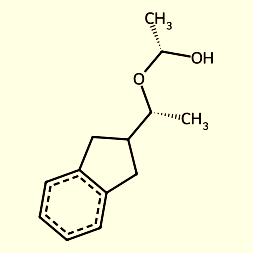 C[C@H](O)O[C@H](C)C1Cc2ccccc2C1